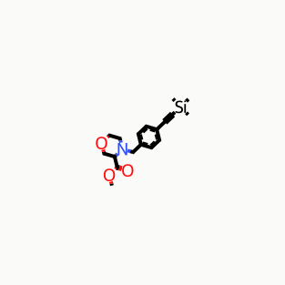 COC(=O)C1COCCN1Cc1ccc(C#C[Si](C)(C)C)cc1